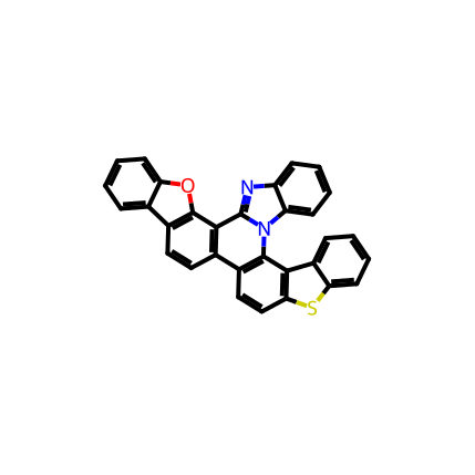 c1ccc2c(c1)nc1c3c(ccc4c5ccccc5oc43)c3ccc4sc5ccccc5c4c3n21